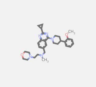 COc1ccccc1C1CCN(c2nc(C3CC3)nc3ccc(CN(C)CCN4CCOCC4)cc23)CC1